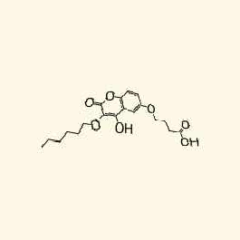 CCCCCCOc1c(O)c2cc(OCCCC(=O)O)ccc2oc1=O